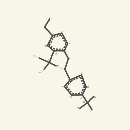 CCc1ccc(CCc2ccc(C(C)(C)C)cc2)c(C(F)(F)F)c1